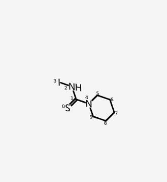 S=C(NI)N1CCCCC1